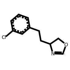 Clc1cccc(CCC2CO[C]=N2)c1